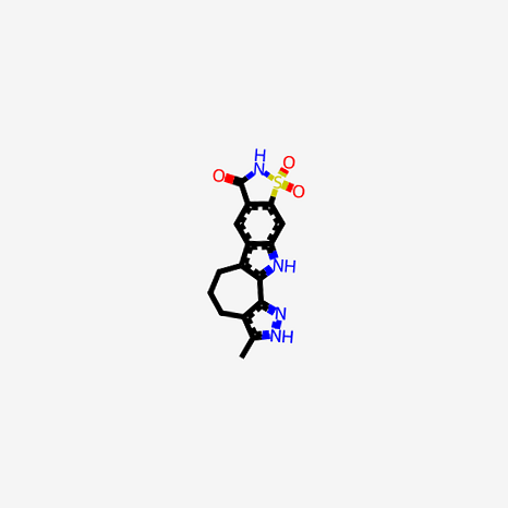 Cc1[nH]nc2c1CCCc1c-2[nH]c2cc3c(cc12)C(=O)NS3(=O)=O